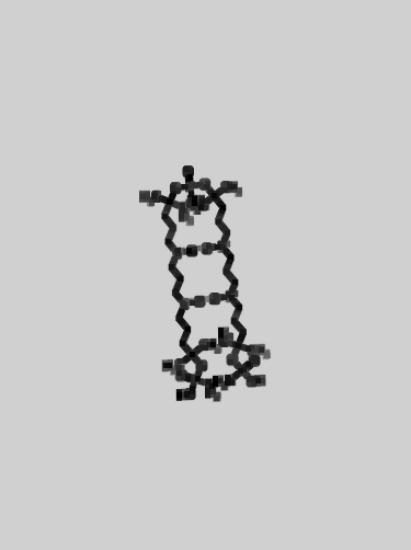 CC(C)(CCC[S+]([O-])CCC[S+]([O-])CCCC(C)(C)OP(N)(=O)OC(C)(C)CCC[S+]([O-])CCC[S+]([O-])CCCC(C)(C)OP(N)(=O)O)OP(N)(=O)O